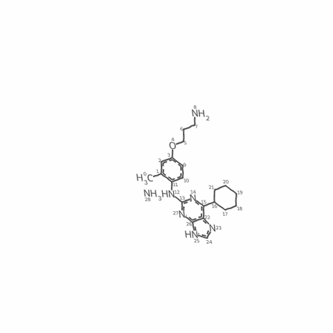 Cc1cc(OCCCN)ccc1Nc1nc(C2CCCCC2)c2nc[nH]c2n1.N